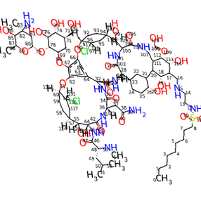 CCCCCCCCCS(=O)(=O)NCCNCC1[C@H](O)C2C3C[C@H](CC[C@H]3O)[C@H]3NC(=O)[C@@H]4NC(=O)[C@H](CC(N)=O)NC(=O)[C@H](NC(=O)[C@@H](CC(C)C)NC)[C@H](O)[C@H]5CC[C@@H](Oc6cc4cc(c6O[C@@H]4C[C@H](CO)[C@@H](O)[C@H](O)[C@H]4O[C@H]4C[C@](C)(N)[C@H](O)[C@H](C)O4)O[C@@H]4CC[C@@H](C[C@@H]4Cl)[C@@H](O)[C@H](NC3=O)C(=O)N[C@H](C(=O)O)C2C[C@@H]1O)[C@H](Cl)C5